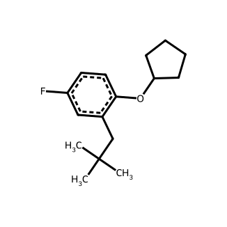 CC(C)(C)Cc1cc(F)ccc1OC1CCCC1